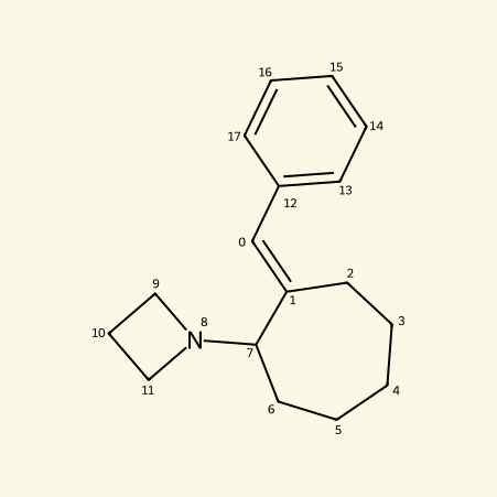 C(=C1CCCCCC1N1CCC1)c1ccccc1